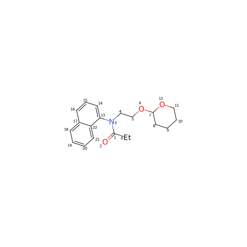 CCC(=O)N(CCOC1CCCCO1)c1cccc2ccccc12